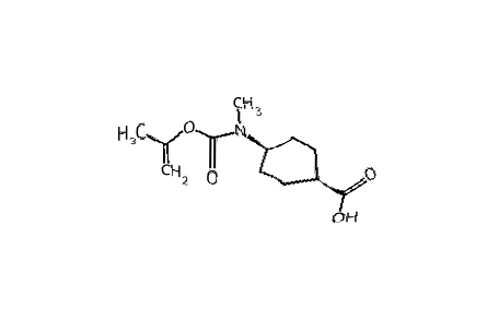 C=C(C)OC(=O)N(C)[C@H]1CC[C@@H](C(=O)O)CC1